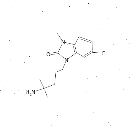 Cn1c(=O)n(CCCC(C)(C)N)c2cc(F)ccc21